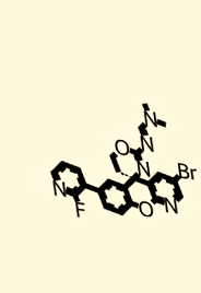 CN(C)C=NC1=N[C@]2(CCO1)c1cc(-c3cccnc3F)ccc1Oc1ncc(Br)cc12